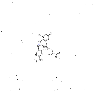 CC(C)Nc1ncc(/N=C(\N)Nc2c(F)cc(Cl)cc2F)c(C[C@H]2CC[C@@H](C(N)=O)CC2)n1